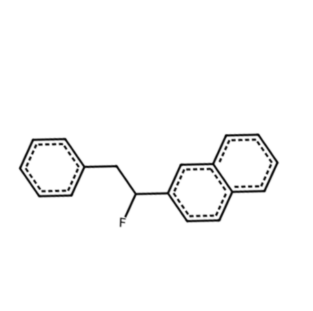 FC(Cc1ccccc1)c1ccc2ccccc2c1